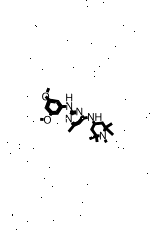 COc1cc(Nc2nc(C)cc(NC3CC(C)(C)N(C)C(C)(C)C3)n2)cc(OC)c1